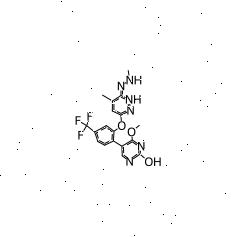 CNN=c1[nH]nc(Oc2cc(C(F)(F)F)ccc2-c2cnc(O)nc2OC)cc1C